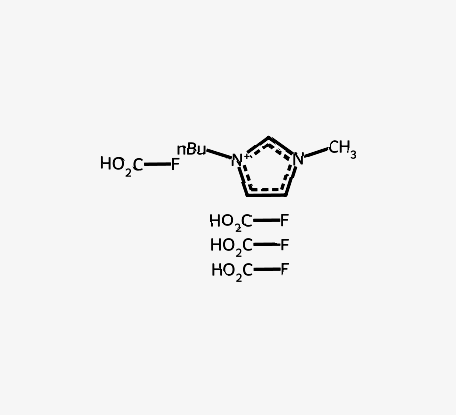 CCCC[n+]1ccn(C)c1.O=C(O)F.O=C(O)F.O=C(O)F.O=C(O)F